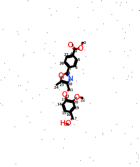 COC(=O)c1ccc(-c2nc(COc3ccc(CO)cc3OC)c(C)o2)cc1